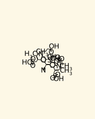 CC1(C)C=C(CS(=O)(=O)O)c2cc3c(cc2N1CCCC(=O)O)[Si](C)(C)c1cc2c(cc1=C3C#N)C(CS(=O)(=O)O)=CC(C)(C)[N+]=2CS(=O)(=O)O